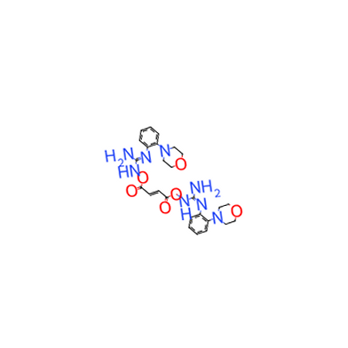 NC(=Nc1ccccc1N1CCOCC1)NOC(=O)/C=C/C(=O)ONC(N)=Nc1ccccc1N1CCOCC1